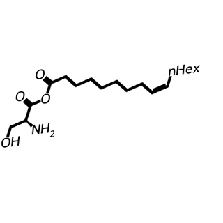 CCCCCC/C=C\CCCCCCCC(=O)OC(=O)[C@@H](N)CO